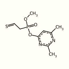 COP(=O)(CC=S)Oc1cc(C)nc(C)n1